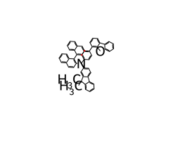 CC1(C)c2ccccc2-c2ccc(N(c3ccc(-c4cccc5c4oc4ccccc45)cc3)c3ccc4ccccc4c3-c3cccc4ccccc34)cc21